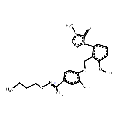 CCCCO/N=C(\C)c1ccc(OCc2c(OC)cccc2-n2nnn(C)c2=O)c(C)c1